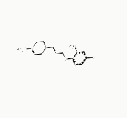 O=C(O)N1CCN(CCCOc2ncc(Br)cc2[N+](=O)[O-])CC1